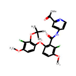 BC(B)(B)Oc1c(Oc2ccc(OC(F)(F)F)c(F)c2C(=O)Nc2ccnc(C(=O)OC)c2)ccc(OC(F)(F)F)c1F